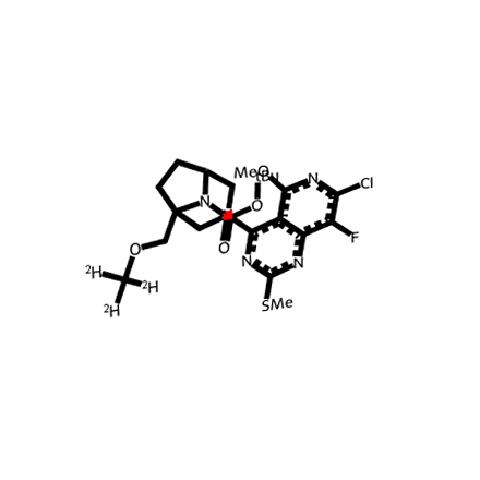 [2H]C([2H])([2H])OCC12CCC(CN(c3nc(SC)nc4c(F)c(Cl)nc(OC)c34)C1)N2C(=O)OC(C)(C)C